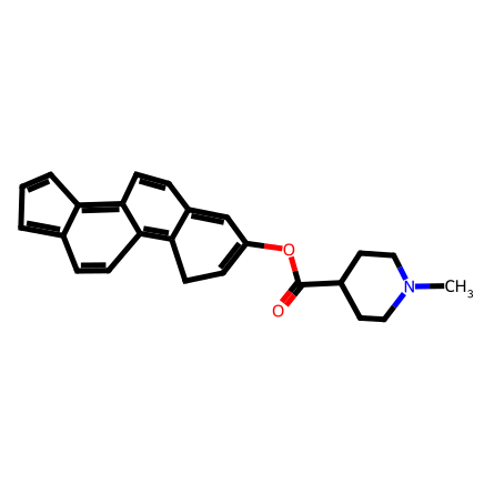 CN1CCC(C(=O)OC2=CCc3c(ccc4c5c(ccc34)=CC=C5)=C2)CC1